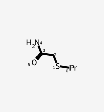 CC(C)SCC(N)=O